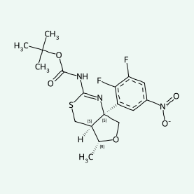 C[C@H]1OC[C@]2(c3cc([N+](=O)[O-])cc(F)c3F)N=C(NC(=O)OC(C)(C)C)SC[C@H]12